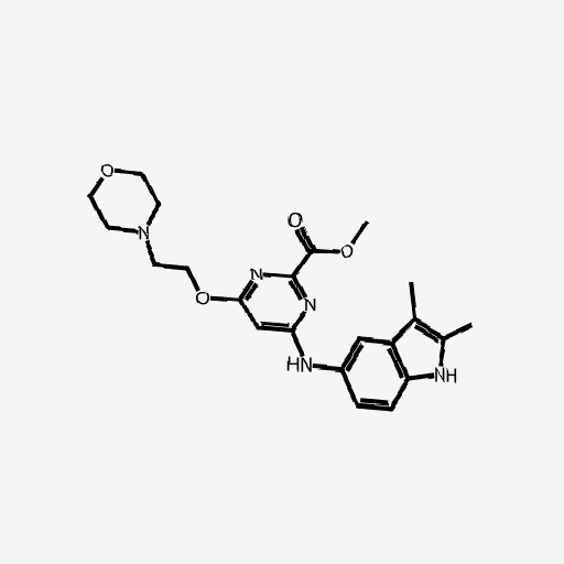 COC(=O)c1nc(Nc2ccc3[nH]c(C)c(C)c3c2)cc(OCCN2CCOCC2)n1